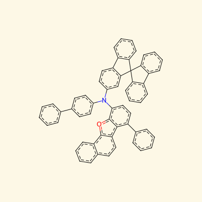 c1ccc(-c2ccc(N(c3ccc4c(c3)C3(c5ccccc5-c5ccccc53)c3ccccc3-4)c3ccc(-c4ccccc4)c4c3oc3c5ccccc5ccc34)cc2)cc1